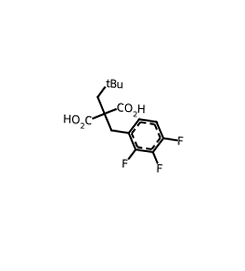 CC(C)(C)CC(Cc1ccc(F)c(F)c1F)(C(=O)O)C(=O)O